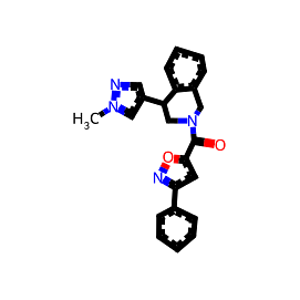 Cn1cc(C2CN(C(=O)c3cc(-c4ccccc4)no3)Cc3ccccc32)cn1